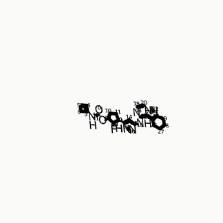 O=C(NC12CC(C1)C2)O[C@H]1CC[C@@H](c2cc(Nc3nccn4nc5c(c34)CCCC5)n[nH]2)[C@H]1F